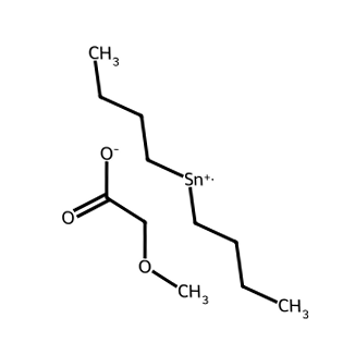 CCC[CH2][Sn+][CH2]CCC.COCC(=O)[O-]